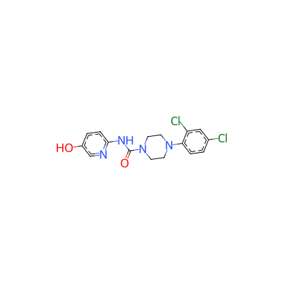 O=C(Nc1ccc(O)cn1)N1CCN(c2ccc(Cl)cc2Cl)CC1